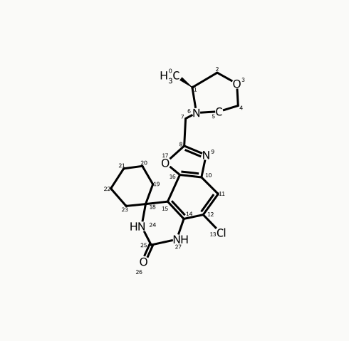 C[C@H]1COCCN1Cc1nc2cc(Cl)c3c(c2o1)C1(CCCCC1)NC(=O)N3